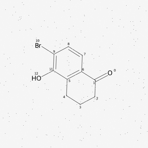 O=C1CCCc2c1ccc(Br)c2O